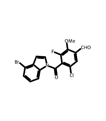 COc1c(C=O)cc(Cl)c(C(=O)n2ccc3c(Br)cccc32)c1F